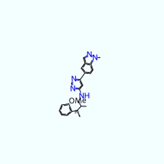 COc1ccccc1[C@H](C)C(C)CNc1cc(-c2ccc3c(cnn3C)c2)ncn1